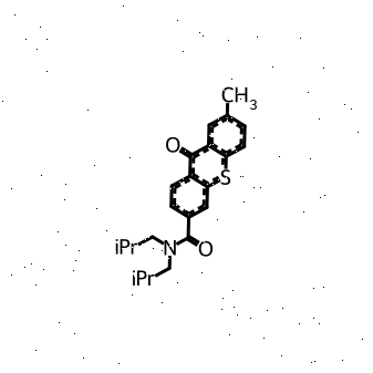 Cc1ccc2sc3cc(C(=O)N(CC(C)C)CC(C)C)ccc3c(=O)c2c1